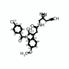 C#CCC1(CNC(=O)Cc2c(C)n(C(=O)c3ccc(Cl)cc3)c3cc(OC)ccc23)N=N1